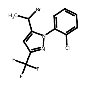 CC(Br)c1cc(C(F)(F)F)nn1-c1ccccc1Cl